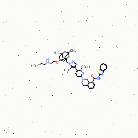 Cc1c(-c2ccc(N3CCc4cccc(C(=O)Nc5nc6ccccc6s5)c4C3)nc2C(=O)O)cnn1CC12CC3(C)CC(C)(C1)CC(OCCNCCC(=O)O)(C3)C2